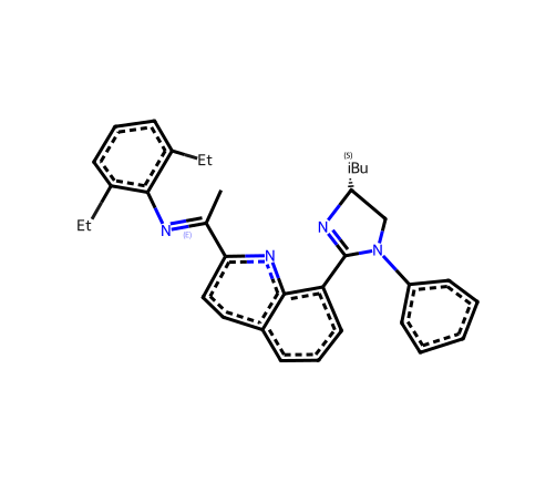 CCc1cccc(CC)c1/N=C(\C)c1ccc2cccc(C3=NC([C@@H](C)CC)CN3c3ccccc3)c2n1